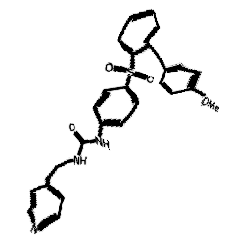 COc1ccc(-c2ccccc2S(=O)(=O)c2ccc(NC(=O)NCc3ccncc3)cc2)cc1